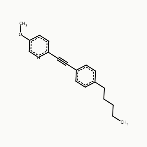 CCCCCc1ccc(C#Cc2ccc(OC)cn2)cc1